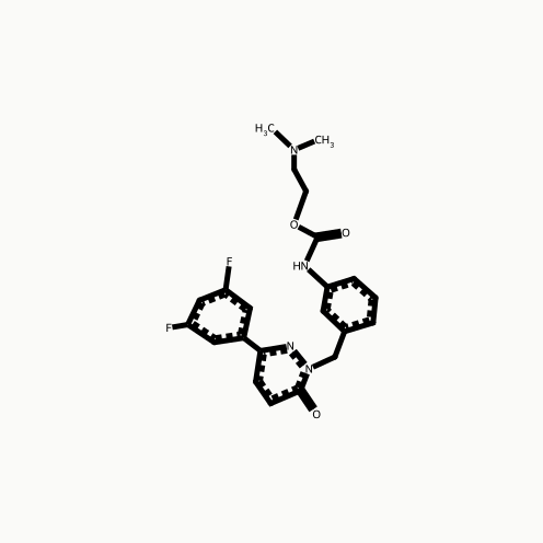 CN(C)CCOC(=O)Nc1cccc(Cn2nc(-c3cc(F)cc(F)c3)ccc2=O)c1